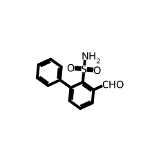 NS(=O)(=O)c1c(C=O)cccc1-c1ccccc1